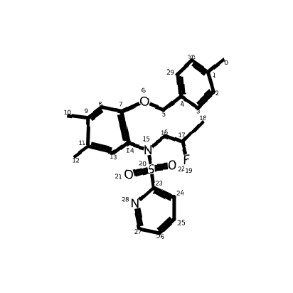 Cc1ccc(COc2cc(C)c(C)cc2N(CC(C)F)S(=O)(=O)c2ccccn2)cc1